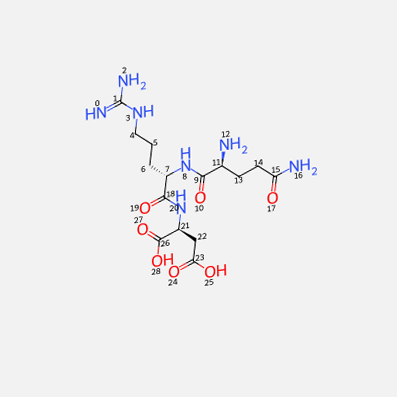 N=C(N)NCCC[C@H](NC(=O)[C@@H](N)CCC(N)=O)C(=O)N[C@@H](CC(=O)O)C(=O)O